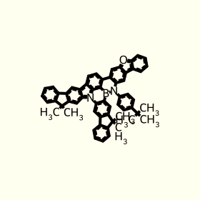 CC(C)(C)c1ccc(N2B3c4cc5c(cc4-n4c6cc7c(cc6c6ccc(c3c64)-c3cc4oc6ccccc6c4cc32)-c2ccccc2C7(C)C)-c2ccccc2C5(C)C)cc1